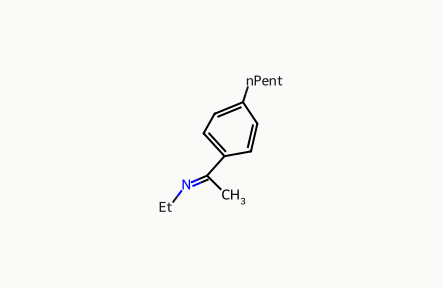 CCCCCc1ccc(/C(C)=N/CC)cc1